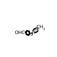 CN1CCN(Sc2ccc(C=O)cc2)CC1